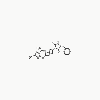 NC(=O)c1sc(C2CC2)nc1O[C@H]1CC2(C1)C[C@H](N1C(=O)NC(Cc3cccnc3)C1=O)C2